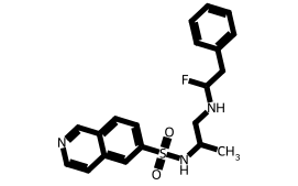 CC(CNC(F)Cc1ccccc1)NS(=O)(=O)c1ccc2cnccc2c1